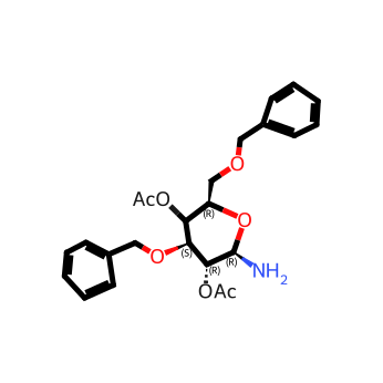 CC(=O)OC1[C@@H](COCc2ccccc2)O[C@@H](N)[C@H](OC(C)=O)[C@H]1OCc1ccccc1